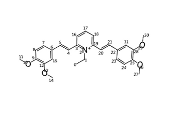 CC[n+]1c(/C=C/c2ccc(OC)c(OC)c2)cccc1/C=C/c1ccc(OC)c(OC)c1